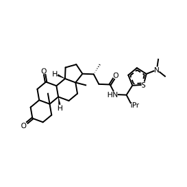 CC(C)C(NC(=O)C[C@@H](C)C1CC[C@H]2C3C(=O)CC4CC(=O)CCC4(C)[C@H]3CCC12C)c1ccc(N(C)C)s1